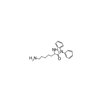 NCCCCCC(N)C(=O)N(c1ccccc1)c1ccccc1